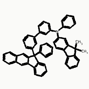 CC1(C)c2ccccc2-c2ccc(N(c3ccccc3)c3cccc(-c4cccc(C5(c6ccccc6)c6ccccc6-c6cc7ccccc7cc65)c4)c3)cc21